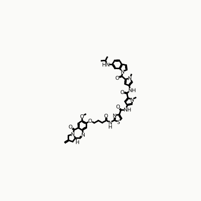 C=C1C[C@H]2C=Nc3cc(OCCCC(=O)Nc4nc(C(=O)Nc5cc(C(=O)Nc6cc(C(=O)n7ccc8ccc(NC(C)C)cc87)n(C)c6)n(C)c5)cs4)c(OC)cc3C(=O)N2C1